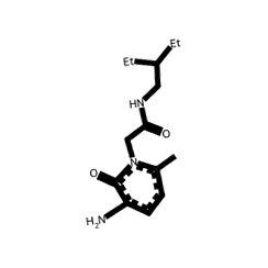 CCC(CC)CNC(=O)Cn1c(C)ccc(N)c1=O